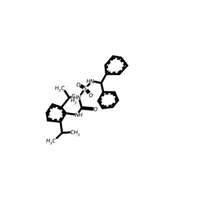 CC(C)c1cccc(C(C)C)c1NC(=O)NS(=O)(=O)NC(c1ccccc1)c1ccccc1